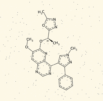 COc1cc2ncnc(-c3cn(C)nc3-c3ccccc3)c2nc1O[C@H](C)c1nnc(C)o1